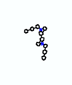 C1=CC(c2ccc(-c3ccccc3)cc2)CC(n2c3c(c4ccccc42)=CC(c2ccc4c(c2)c2ccccc2n4-c2cccc(-c4ccc(-c5ccccc5)cc4)c2)CC=3)=C1